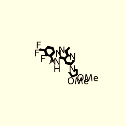 COC1CN(c2cnc3c(C)nnc(N[C@H](C)c4cccc(C(F)F)c4F)c3c2)CC1OC